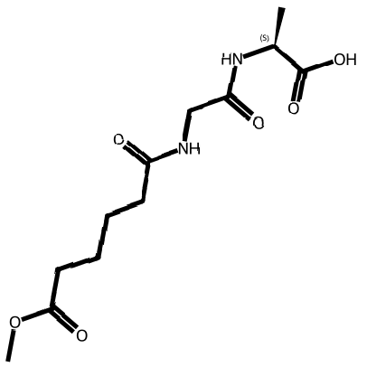 COC(=O)CCCCC(=O)NCC(=O)N[C@@H](C)C(=O)O